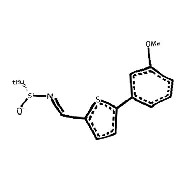 COc1cccc(-c2ccc(C=N[S@+]([O-])C(C)(C)C)s2)c1